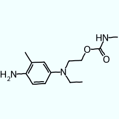 CCN(CCOC(=O)NC)c1ccc(N)c(C)c1